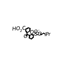 CC(C)CCOC[S+]([O-])c1cccc2c(=O)c3cc(C(=O)O)ccc3oc12